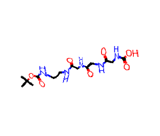 CC(C)(C)OC(=O)NCCNC(=O)CNC(=O)CNC(=O)CNC(=O)O